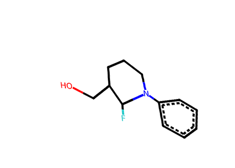 OCC1CCCN(c2ccccc2)C1F